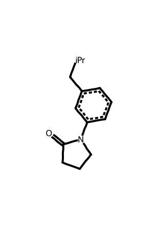 CC(C)Cc1cccc(N2CCCC2=O)c1